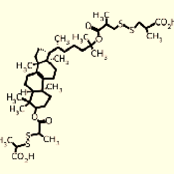 CC(CSSCC(C)C(=O)OC(C)(C)CCC[C@@H](C)[C@H]1CC[C@@]2(C)C3=C(CC[C@]12C)[C@@]1(C)CCC(OC(=O)C(C)SSC(C)C(=O)O)C(C)(C)[C@@H]1CC3)C(=O)O